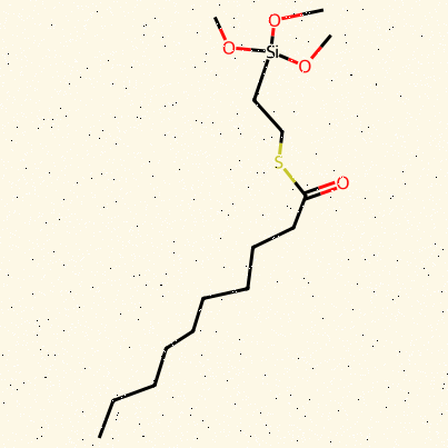 CCCCCCCCCC(=O)SCC[Si](OC)(OC)OC